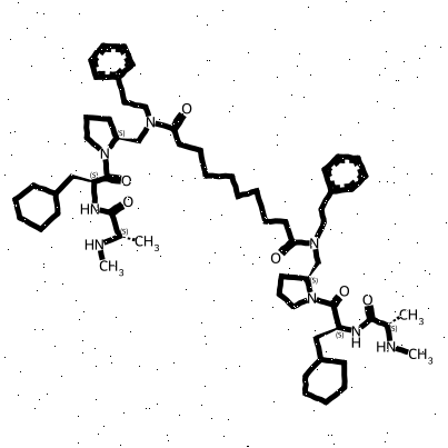 CN[C@@H](C)C(=O)N[C@@H](CC1CCCCC1)C(=O)N1CCC[C@H]1CN(CCc1ccccc1)C(=O)CCCCCCCCC(=O)N(CCc1ccccc1)C[C@@H]1CCCN1C(=O)[C@H](CC1CCCCC1)NC(=O)[C@H](C)NC